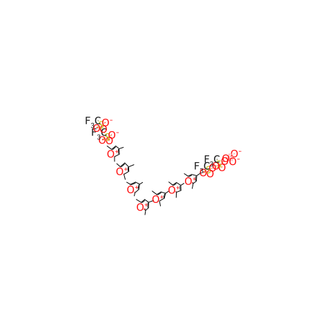 Cc1cc(C)[o+]c(C)c1.Cc1cc(C)[o+]c(C)c1.Cc1cc(C)[o+]c(C)c1.Cc1cc(C)[o+]c(C)c1.Cc1cc(C)[o+]c(C)c1.Cc1cc(C)[o+]c(C)c1.Cc1cc(C)[o+]c(C)c1.O=S(=O)([O-])C(F)(F)F.O=S(=O)([O-])C(F)(F)F.O=S(=O)([O-])C(F)(F)F.O=S(=O)([O-])C(F)(F)F.[O-]B([O-])[O-]